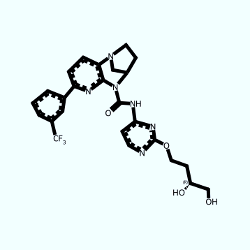 O=C(Nc1ccnc(OCC[C@@H](O)CO)n1)N1c2nc(-c3cccc(C(F)(F)F)c3)ccc2N2CCC1C2